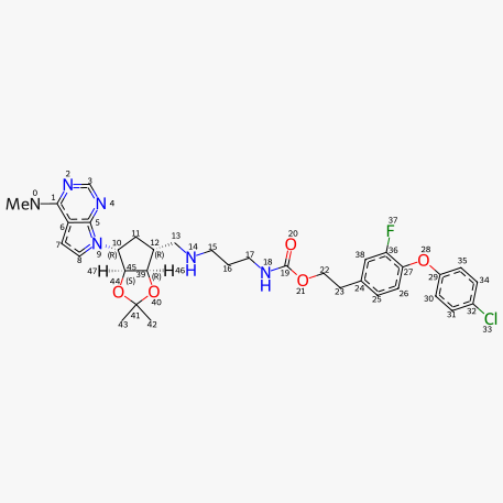 CNc1ncnc2c1ccn2[C@@H]1C[C@H](CNCCCNC(=O)OCCc2ccc(Oc3ccc(Cl)cc3)c(F)c2)[C@H]2OC(C)(C)O[C@H]21